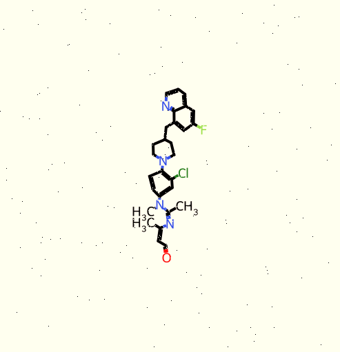 CC(=C/C=O)/N=C(/C)N(C)c1ccc(N2CCC(Cc3cc(F)cc4cccnc34)CC2)c(Cl)c1